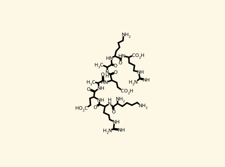 CC(NC(=O)C(CCC(=O)O)NC(=O)C(C)NC(=O)C(CCC(=O)O)NC(=O)C(CCCNC(=N)N)NC(=O)C(N)CCCCN)C(=O)NC(CCCCN)C(=O)NC(CCCNC(=N)N)C(=O)O